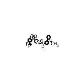 CCn1c2ccccc2c2cc(NC(=O)CN3CCC(N4C(=O)OCc5ccc(C(F)(F)F)cc54)CC3)ccc21